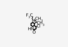 CC1c2c(ccc3[nH]c(=O)cc(Cl)c23)N(CCC(F)(F)F)C1C